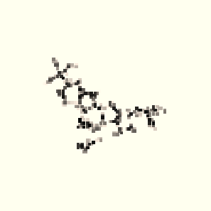 CC[S+]([O-])C1C2=C(SC1c1nc3cc(C(F)(F)F)ncc3n1C)C(NC(C)=O)CS2